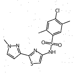 Cc1cc(S(=O)(=O)Nc2csc(-c3ccn(C)n3)n2)c(C)cc1Cl